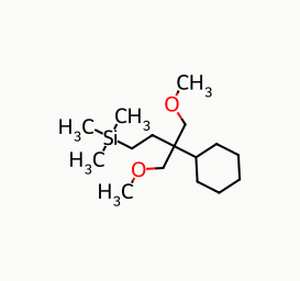 COCC(CC[Si](C)(C)C)(COC)C1CCCCC1